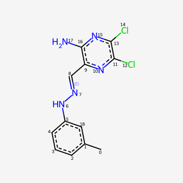 Cc1cccc(N/N=C/c2nc(Cl)c(Cl)nc2N)c1